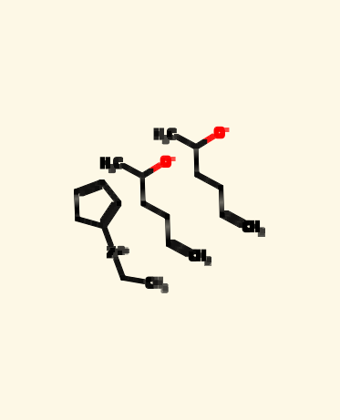 C=CCCC(C)[O-].C=CCCC(C)[O-].C[CH2][Zr+2][C]1=CC=CC1